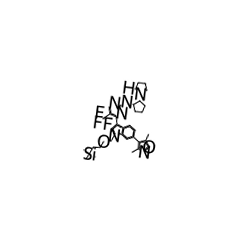 Cc1noc(C)c1-c1ccc2c(-c3nc(N[C@H]4CCC[C@@H]4N4CCCC4)ncc3C(F)(F)F)cn(COCC[Si](C)(C)C)c2c1